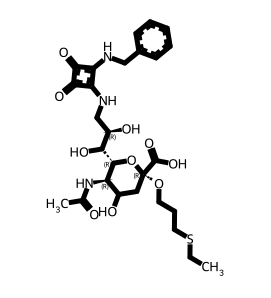 CCSCCCO[C@]1(C(=O)O)CC(O)[C@@H](NC(C)=O)[C@H](C(O)[C@H](O)CNc2c(NCc3ccccc3)c(=O)c2=O)O1